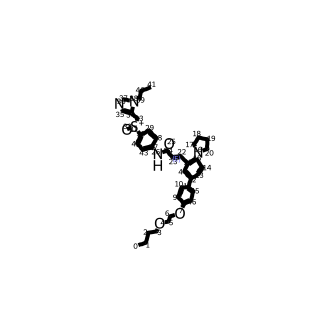 CCCCOCCOc1ccc(-c2ccc(N3CCCC3)c(/C=C/C(=O)Nc3ccc([S+]([O-])Cc4cncn4CCC)cc3)c2)cc1